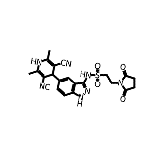 [C-]#[N+]C1=C(C)NC(C)=C(C#N)C1c1ccc2[nH]nc(NS(=O)(=O)CCN3C(=O)CCC3=O)c2c1